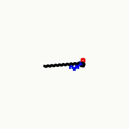 CCCCCCCCCCCCCCCCCC(N)CN1CCCC1=O